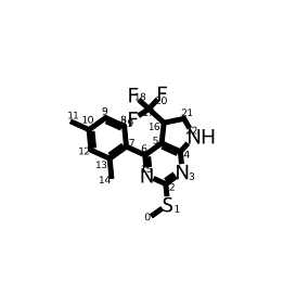 CSc1nc2c(c(-c3ccc(C)cc3C)n1)C(C(F)(F)F)CN2